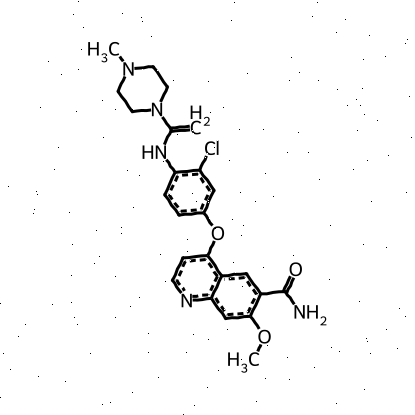 C=C(Nc1ccc(Oc2ccnc3cc(OC)c(C(N)=O)cc23)cc1Cl)N1CCN(C)CC1